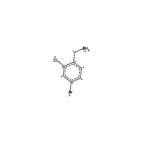 BCc1ccc(Br)cc1Cl